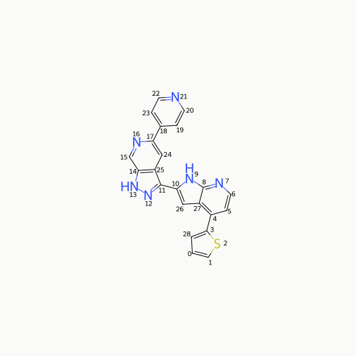 c1csc(-c2ccnc3[nH]c(-c4n[nH]c5cnc(-c6ccncc6)cc45)cc23)c1